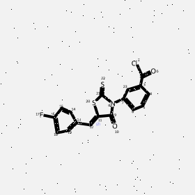 O=C(Cl)c1cccc(N2C(=O)/C(=C/c3ccc(F)cc3)SC2=S)c1